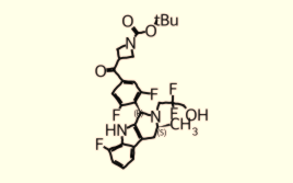 C[C@H]1Cc2c([nH]c3c(F)cccc23)[C@@H](c2c(F)cc(C(=O)C3CN(C(=O)OC(C)(C)C)C3)cc2F)N1CC(F)(F)CO